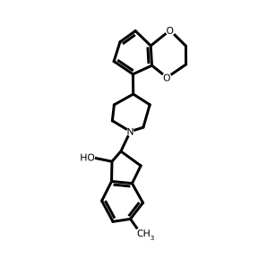 Cc1ccc2c(c1)CC(N1CCC(c3cccc4c3OCCO4)CC1)C2O